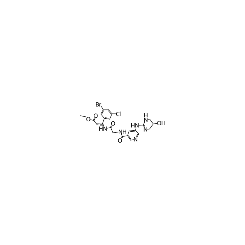 CCOC(=O)C[C@H](NC(=O)CNC(=O)c1cncc(NC2=NCC(O)CN2)c1)c1cc(Cl)cc(Br)c1